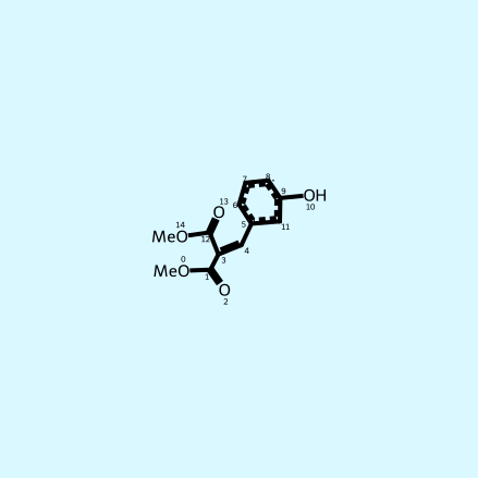 COC(=O)C(=Cc1cc[c]c(O)c1)C(=O)OC